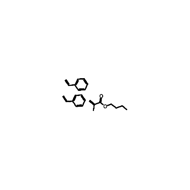 C=C(C)C(=O)OCCCC.C=Cc1ccccc1.C=Cc1ccccc1